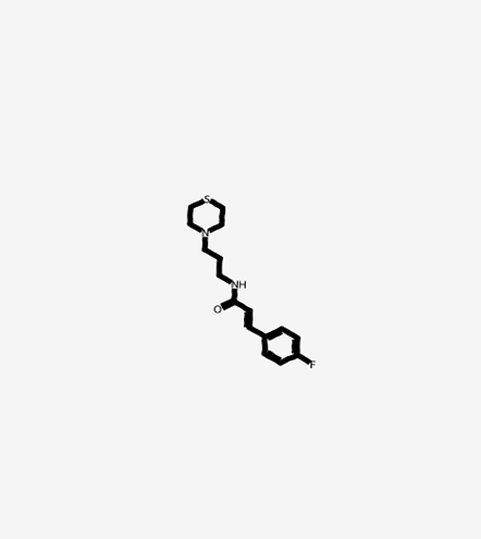 O=C(C=Cc1ccc(F)cc1)NCCCN1CCSCC1